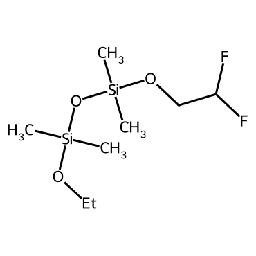 CCO[Si](C)(C)O[Si](C)(C)OCC(F)F